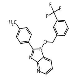 Cc1ccc(-c2nc3ncccc3n2OCc2cccc(C(F)(F)F)c2)cc1